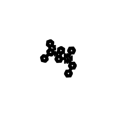 c1ccc(-c2cccc(-c3nc(-c4ccccc4)nc(-c4cccc5c4c4ccccc4n5-c4cc(-c5ccccc5)cc5c4sc4ccccc45)n3)c2)cc1